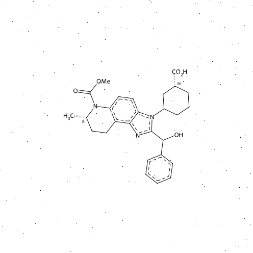 COC(=O)N1c2ccc3c(nc(C(O)c4ccccc4)n3C3CCC[C@@H](C(=O)O)C3)c2CC[C@@H]1C